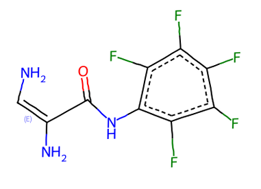 N/C=C(/N)C(=O)Nc1c(F)c(F)c(F)c(F)c1F